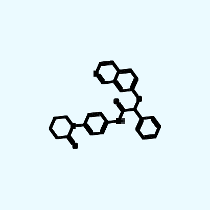 O=C(Nc1ccc(N2CCCCC2=O)cc1)C(Oc1ccc2ccncc2c1)c1ccccc1